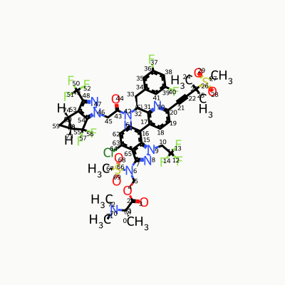 C[C@@H](C(=O)OCN(c1nn(CC(F)(F)F)c2c(-c3ccc(C#CC(C)(C)S(C)(=O)=O)nc3[C@H](Cc3cc(F)cc(F)c3)NC(=O)Cn3nc(C(F)(F)F)c4c3C(F)(F)[C@@H]3C[C@H]43)ccc(Cl)c12)S(C)(=O)=O)N(C)C